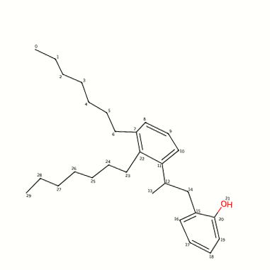 CCCCCCCc1cccc(C(C)Cc2ccccc2O)c1CCCCCCC